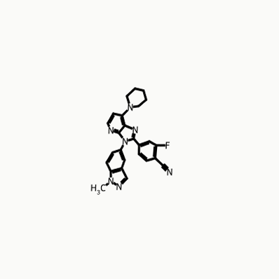 Cn1ncc2cc(-n3c(-c4ccc(C#N)c(F)c4)nc4c(N5CCCCC5)ccnc43)ccc21